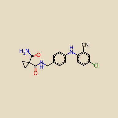 N#Cc1cc(Cl)ccc1Nc1ccc(CNC(=O)C2(C(N)=O)CC2)cc1